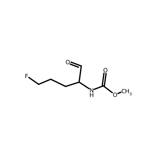 COC(=O)NC(C=O)CCCF